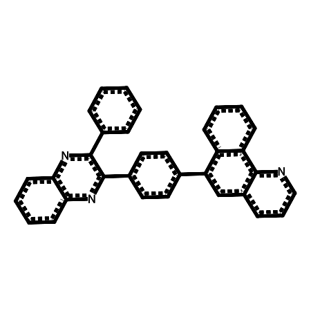 c1ccc(-c2nc3ccccc3nc2-c2ccc(-c3cc4cccnc4c4ccccc34)cc2)cc1